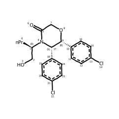 CCC[C@H](CO)N1C(=O)CO[C@H](c2ccc(Cl)cc2)[C@@H]1c1ccc(Cl)cc1